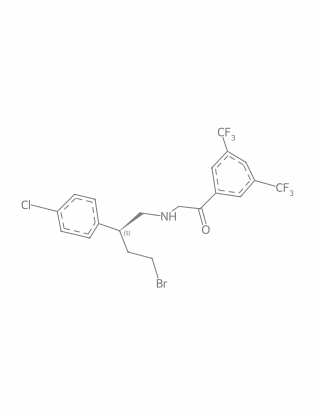 O=C(CNC[C@@H](CCBr)c1ccc(Cl)cc1)c1cc(C(F)(F)F)cc(C(F)(F)F)c1